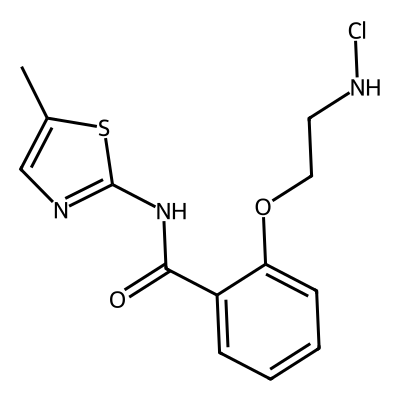 Cc1cnc(NC(=O)c2ccccc2OCCNCl)s1